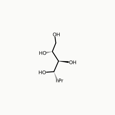 CCC[C@H](O)[C@H](O)[C@H](O)CO